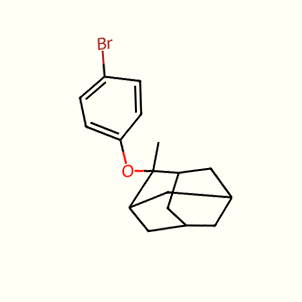 CC1(Oc2ccc(Br)cc2)C2CC3CC(C2)CC1C3